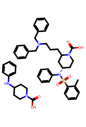 Cc1ccccc1S(=O)(=O)N(c1ccccc1)[C@H]1CCN(C(=O)O)C(CCCN(Cc2ccccc2)Cc2ccccc2)C1.O=C(O)N1CCC(Nc2ccccc2)CC1